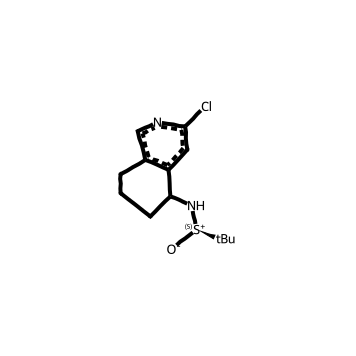 CC(C)(C)[S@@+]([O-])NC1CCCc2cnc(Cl)cc21